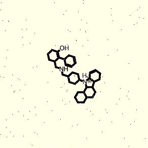 OC1=C(C2C=CC=CC2)C(CNCC2CCC(N3C4C5CCCCC5CCC4C4CCC=C[C@@H]43)CC2)CCC1